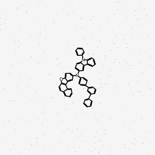 c1ccc(-c2cccc(-c3ccc(N(c4ccc5oc6ccc7ccccc7c6c5c4)c4ccc5c(c4)c4ccccc4n5-c4ccccc4)cc3)c2)cc1